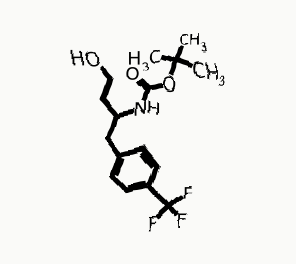 CC(C)(C)OC(=O)NC(CCO)Cc1ccc(C(F)(F)F)cc1